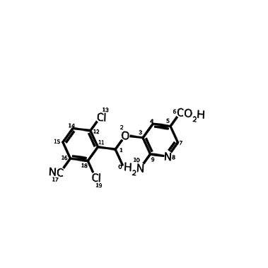 CC(Oc1cc(C(=O)O)cnc1N)c1c(Cl)ccc(C#N)c1Cl